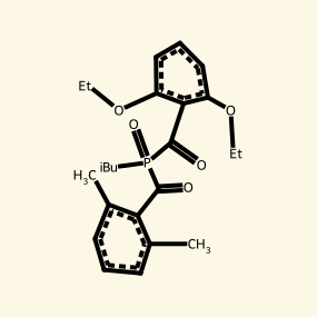 CCOc1cccc(OCC)c1C(=O)P(=O)(C(=O)c1c(C)cccc1C)C(C)CC